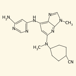 CN(c1cc(Nc2cc(N)ncn2)c2ncn(C)c2n1)C1CCC(C#N)CC1